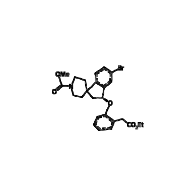 CCOC(=O)Cc1ccccc1O[C@H]1CC2(CCN(C(=O)OC)CC2)c2ccc(Br)cc21